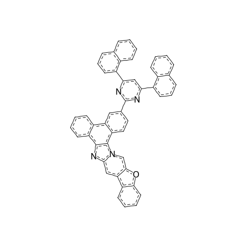 c1ccc2c(-c3cc(-c4cccc5ccccc45)nc(-c4ccc5c(c4)c4ccccc4c4nc6cc7c(cn6c54)oc4ccccc47)n3)cccc2c1